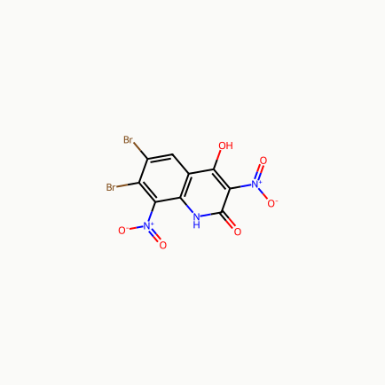 O=c1[nH]c2c([N+](=O)[O-])c(Br)c(Br)cc2c(O)c1[N+](=O)[O-]